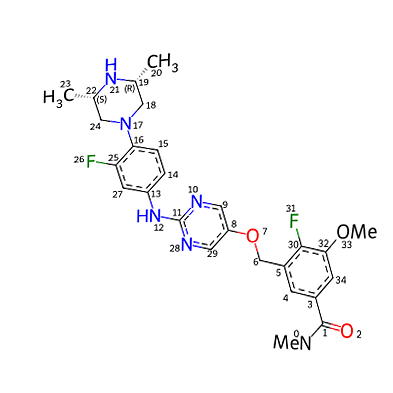 CNC(=O)c1cc(COc2cnc(Nc3ccc(N4C[C@@H](C)N[C@@H](C)C4)c(F)c3)nc2)c(F)c(OC)c1